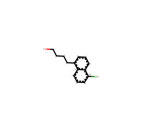 [O]CCCCc1cccc2c(Cl)cccc12